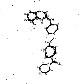 O=C(c1cnc(NC[C@H]2CC[C@H](Nc3ccc4ccnc(Cl)c4n3)CC2)nc1)N1CCOCC1